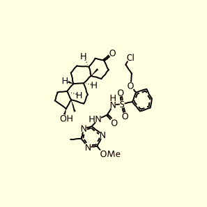 COc1nc(C)nc(NC(=O)NS(=O)(=O)c2ccccc2OCCCl)n1.C[C@]12CCC(=O)C[C@@H]1CC[C@@H]1[C@@H]2CC[C@]2(C)[C@@H](O)CC[C@@H]12